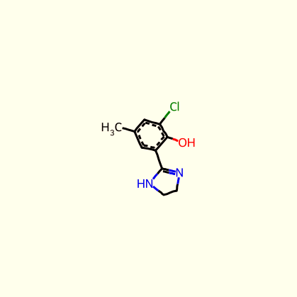 Cc1cc(Cl)c(O)c(C2=NCCN2)c1